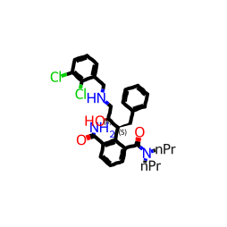 CCCN(CCC)C(=O)c1cccc(C(N)=O)c1[C@H](Cc1ccccc1)[C@@H](O)CNCc1cccc(Cl)c1Cl